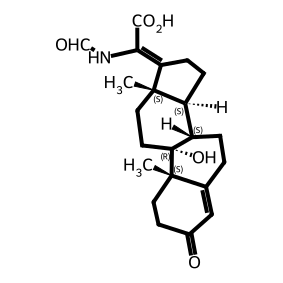 C[C@]12CCC(=O)C=C1CC[C@H]1[C@@H]3CCC(=C(NC=O)C(=O)O)[C@@]3(C)CC[C@@]12O